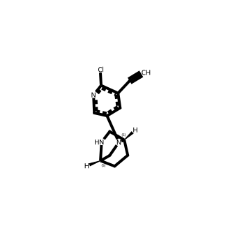 C#Cc1cc(N2C[C@@H]3CC[C@H]2CN3)cnc1Cl